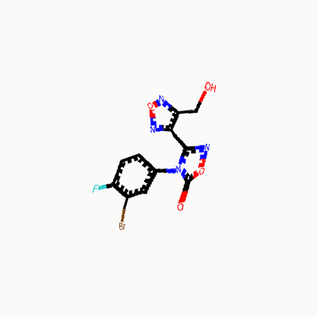 O=c1onc(-c2nonc2CO)n1-c1ccc(F)c(Br)c1